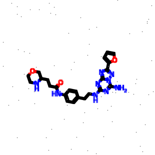 Nc1nc(NCCc2ccc(NC(=O)CCC3COCCN3)cc2)nc2nc(-c3ccco3)nn12